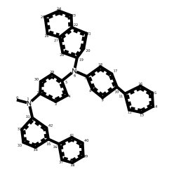 CN(c1ccc(N(c2ccc(-c3ccccc3)cc2)c2ccc3ccccc3c2)cc1)c1cccc(-c2ccccc2)c1